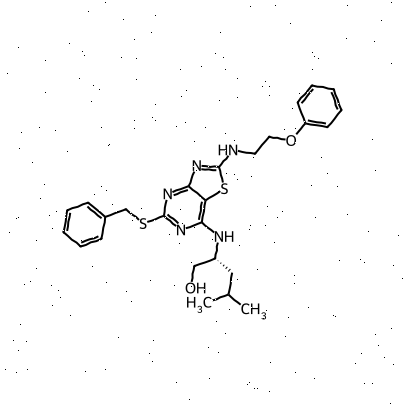 CC(C)C[C@H](CO)Nc1nc(SCc2ccccc2)nc2nc(NCCOc3ccccc3)sc12